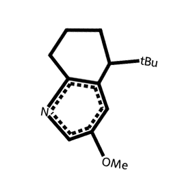 COc1cnc2c(c1)C(C(C)(C)C)CCC2